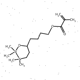 C=C(C)C(=O)OCCCCC1CC[Si](C)(C)[Si](C)(C)O1